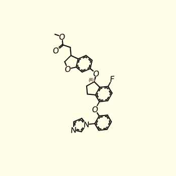 COC(=O)CC1COc2cc(O[C@@H]3CCc4c(Oc5ccccc5-n5ccnc5)ccc(F)c43)ccc21